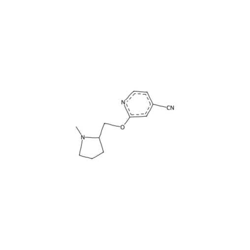 CN1CCCC1COc1cc(C#N)ccn1